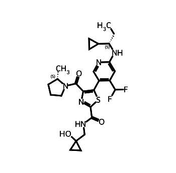 CC[C@H](Nc1cc(C(F)F)c(-c2sc(C(=O)NCC3(O)CC3)nc2C(=O)N2CCC[C@@H]2C)cn1)C1CC1